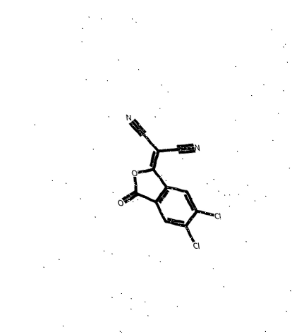 N#CC(C#N)=C1OC(=O)c2cc(Cl)c(Cl)cc21